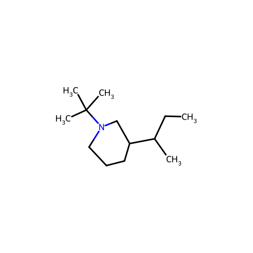 CCC(C)C1CCCN(C(C)(C)C)C1